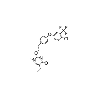 CCc1cn(C)c(OCCc2ccc(Oc3ccc(Cl)c(C(F)(F)F)c3)cc2)nc1=O